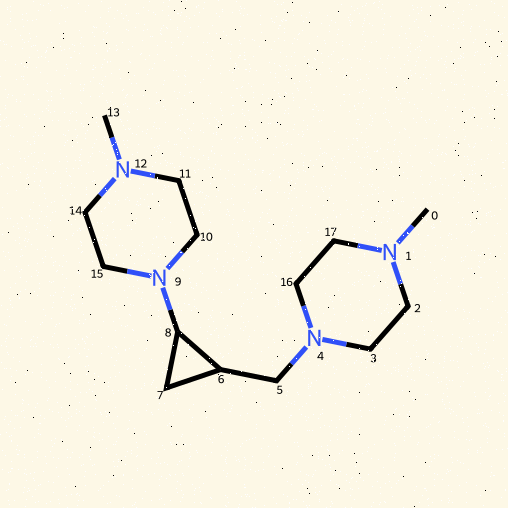 CN1CCN(CC2CC2N2CCN(C)CC2)CC1